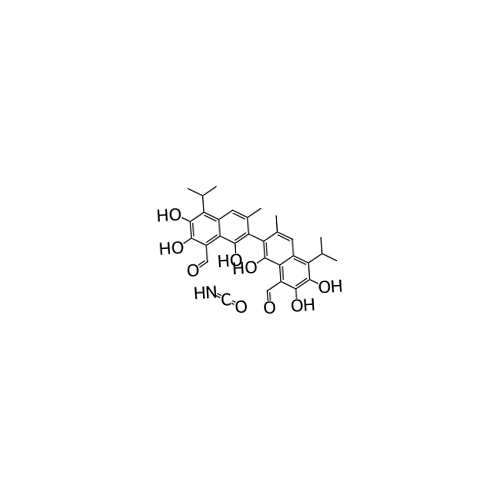 Cc1cc2c(C(C)C)c(O)c(O)c(C=O)c2c(O)c1-c1c(C)cc2c(C(C)C)c(O)c(O)c(C=O)c2c1O.N=C=O